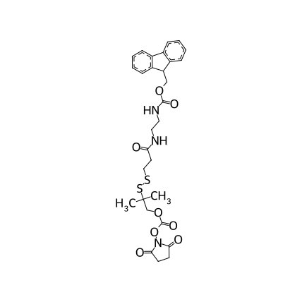 CC(C)(COC(=O)ON1C(=O)CCC1=O)SSCCC(=O)NCCNC(=O)OCC1c2ccccc2-c2ccccc21